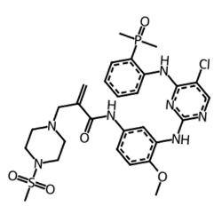 C=C(CN1CCN(S(C)(=O)=O)CC1)C(=O)Nc1ccc(OC)c(Nc2ncc(Cl)c(Nc3ccccc3P(C)(C)=O)n2)c1